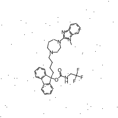 Cn1c(N2CCCN(CCCCC3(OC(=O)NCC(F)(F)F)c4ccccc4-c4ccccc43)CC2)nc2ccccc21